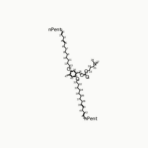 CCCCCC=CCC=CCCCCCCCCOc1cc(COC(=O)OCCCN(C)C)c(OCCCCCCCCC=CCC=CCCCCC)cc1C